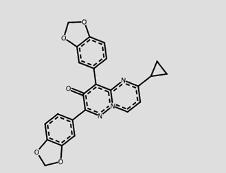 O=c1c(-c2ccc3c(c2)OCO3)nn2ccc(C3CC3)nc2c1-c1ccc2c(c1)OCO2